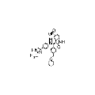 Cc1nc(-c2ccc(NC(=C3C(=O)Nc4ccc([N+](=O)[O-])cc43)c3ccc(CCN4CCCCC4)cc3)cc2)c[nH]1